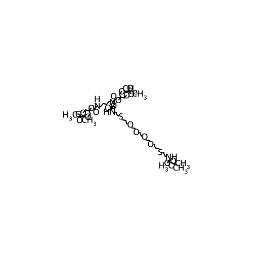 COC(=O)C1(C)OCC(OC(=O)NCCC(CNC(=O)OC2COC(C)(C(=O)OC)OC2)OC(=O)NCCSCCCOCCOCCOCCOCCCSCCNC(=O)OC(C)(C)C)CO1